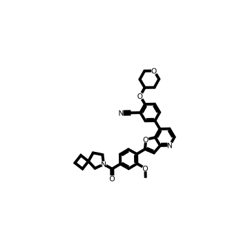 COc1cc(C(=O)N2CCC3(CCC3)C2)ccc1-c1cc2nccc(-c3ccc(OC4CCOCC4)c(C#N)c3)c2o1